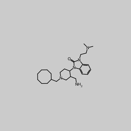 CN(C)CCn1c(=O)n(C2CCN(CC3CCCCCCC3)CC2CN)c2ccccc21